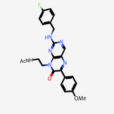 COc1ccc(-c2nc3cnc(NCc4ccc(F)cc4)nc3n(CCNC(C)=O)c2=O)cc1